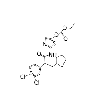 CCOC(=O)Oc1cnc(NC(=O)C(CC2CCCC2)c2ccc(Cl)c(Cl)c2)s1